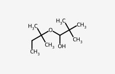 CCC(C)(C)OC(O)C(C)(C)C